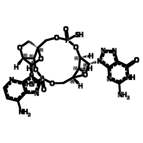 Nc1nc2c(nnn2[C@@H]2O[C@@H]3COP(=O)(S)O[C@H]4[C@H]5OC[C@]4(COP(=O)(S)O[C@@H]2[C@H]3F)O[C@H]5n2cnc3c(N)ccnc32)c(=O)[nH]1